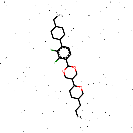 CCCC1CCC(C2COC(c3ccc(C4CCC(CC)CC4)c(F)c3F)OC2)OC1